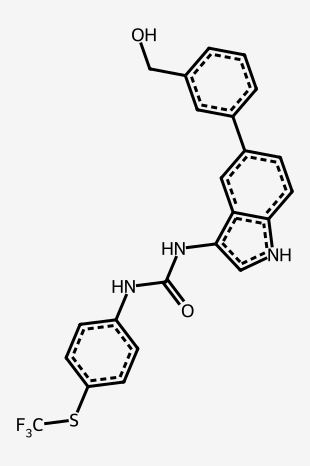 O=C(Nc1ccc(SC(F)(F)F)cc1)Nc1c[nH]c2ccc(-c3cccc(CO)c3)cc12